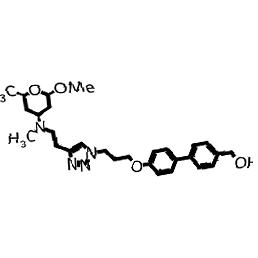 CO[C@H]1C[C@@H](N(C)CCc2cn(CCCOc3ccc(-c4ccc(CO)cc4)cc3)nn2)C[C@@H](C)O1